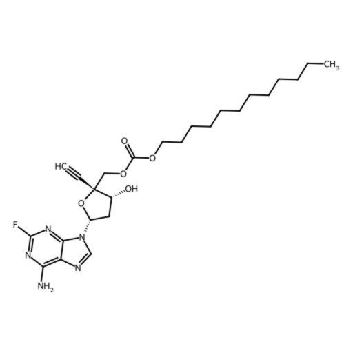 C#C[C@]1(COC(=O)OCCCCCCCCCCCC)O[C@@H](n2cnc3c(N)nc(F)nc32)C[C@H]1O